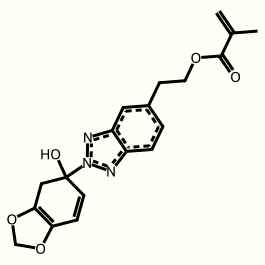 C=C(C)C(=O)OCCc1ccc2nn(C3(O)C=CC4=C(C3)OCO4)nc2c1